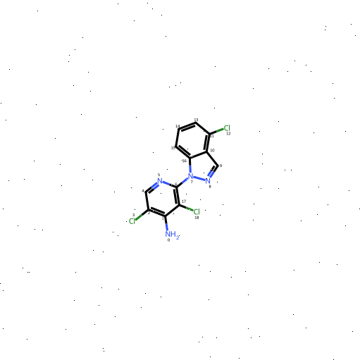 Nc1c(Cl)cnc(-n2ncc3c(Cl)cccc32)c1Cl